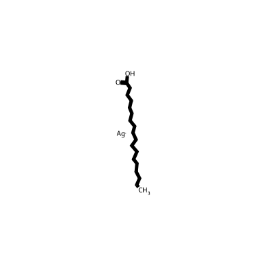 CCCCCCCCCCCCCCCCCC(=O)O.[Ag]